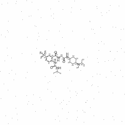 CC(C)NC(=O)Nc1ccc(C(F)(F)F)cc1C(=O)NCC(=O)NC1CCC(N(C)C(C)C)CC1